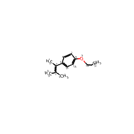 CC(C)=C(C)c1ccc(OC[SiH3])cc1